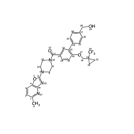 Cc1ccc2oc(N3CCN(C(=O)c4ccc(OCC5(C(F)(F)F)CC5)c(-c5ccc(CO)cc5)c4)CC3)nc2n1